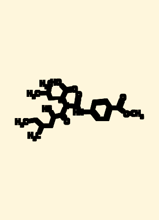 CCC(C)CC(S)C(=O)N(C(=O)Nc1ccc(C(=O)OC)cc1)[C@@H](CC(C)C)C(=O)O